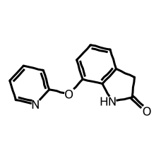 O=C1Cc2cccc(Oc3ccccn3)c2N1